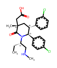 CC[C@@H](CNC)N1C(=O)[C@](C)(CC(=O)O)C[C@H](c2cccc(Cl)c2)[C@H]1c1ccc(Cl)cc1